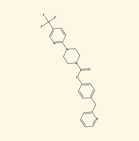 O=C(Oc1ccc(Cc2ccccn2)cc1)N1CCN(c2ccc(C(F)(F)F)cn2)CC1